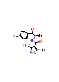 Cc1noc(C(C)C)c1C(=O)NC(C(=O)c1ccc(Cl)cc1)C(C)C